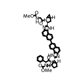 COC(=O)NCC(=O)N1C2C[C@@H]2C[C@H]1c1nc2ccc3cc(-c4ccc5c(ccc6nc([C@@H]7[C@H]8CC[C@H](C8)N7C(=O)[C@H](NC(=O)OC)c7ccccc7)[nH]c65)c4)ccc3c2[nH]1